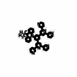 CC1(C)c2ccccc2N(c2cc(-c3cc(-c4cccnc4)nc(-c4cccnc4)c3)cc(-c3cc(-c4cccnc4)nc(-c4cccnc4)c3)c2)c2ccccc21